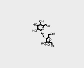 OCC1O[C@@H](COC[C@@H]2C(CO)O[C@@](O)(CO)C2O)C(O)C(O)[C@H]1O